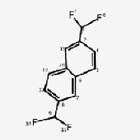 FC(F)c1ccc2cc(C(F)F)ccc2c1